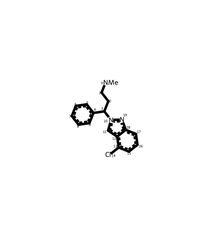 CNCCC(c1ccccc1)n1cc2c(Cl)cccc2n1